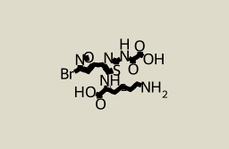 NCCCC[C@H](N)C(=O)O.O=C(O)C(=O)Nc1nc(-c2cc(Br)no2)cs1